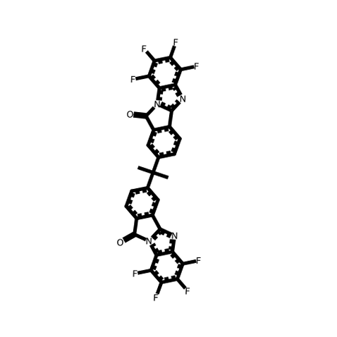 CC(C)(c1ccc2c(c1)C(=O)n1c-2nc2c(F)c(F)c(F)c(F)c21)c1ccc2c(c1)-c1nc3c(F)c(F)c(F)c(F)c3n1C2=O